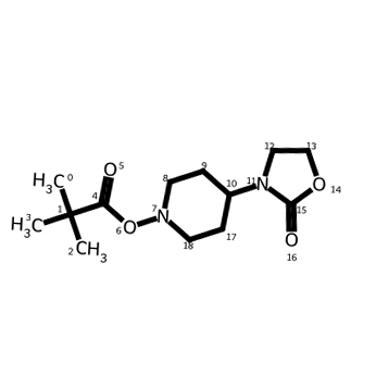 CC(C)(C)C(=O)ON1CCC(N2CCOC2=O)CC1